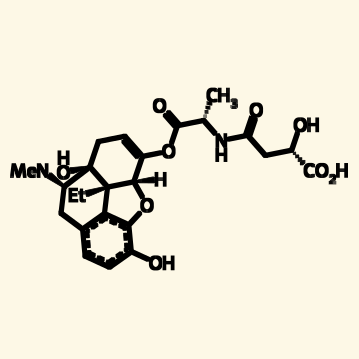 CC[C@]12c3c4ccc(O)c3O[C@H]1C(OC(=O)[C@H](C)NC(=O)C[C@H](O)C(=O)O)=CC[C@@]2(O)[C@H](NC)C4